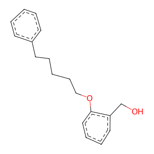 OCc1ccccc1OCCCCCc1ccccc1